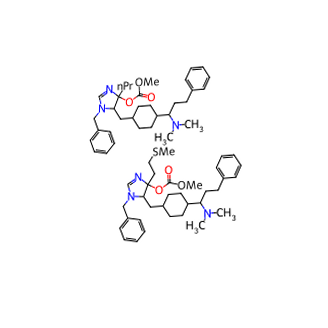 CCCC1(OC(=O)OC)N=CN(Cc2ccccc2)C1CC1CCC(C(CCc2ccccc2)N(C)C)CC1.COC(=O)OC1(CCSC)N=CN(Cc2ccccc2)C1CC1CCC(C(CCc2ccccc2)N(C)C)CC1